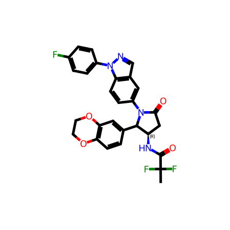 CC(F)(F)C(=O)N[C@@H]1CC(=O)N(c2ccc3c(cnn3-c3ccc(F)cc3)c2)C1c1ccc2c(c1)OCCO2